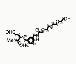 CNC(=O)C(CCC=O)N(C)Cc1cc(CNC(=O)COCCOCCOCCO)ccc1C=O